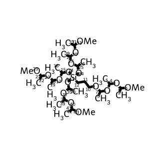 COC(C)OC(C)OC(C)OCCC[Si](OC(C)OC(C)OC(C)OC)(OC(C)OC(C)OC(C)OC)OC(C)OC(C)OC(C)OC